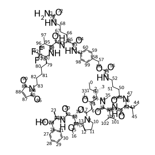 CC[C@H](C)[C@@H]([C@@H](CC(=O)N1CCC[C@H]1[C@H](OC)[C@@H](C)C(=O)N[C@H](C)[C@@H](O)c1ccccc1)OC)N(C)C(=O)[C@@H](NC(=O)[C@H](C(C)C)N(C)C(=O)CCCNC(=O)OCc1ccc(NC(=O)[C@H](CCCNC(N)=O)NC(=O)[C@@H](N[C@@H](CCCCCN2C(=O)C=CC2=O)C(F)(F)F)C(C)C)cc1)C(C)C